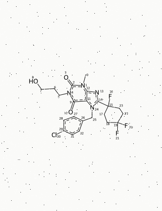 Cn1c(=O)n(CCCO)c(=O)c2c1nc(C1(F)CCC(F)(F)CC1)n2Cc1ccc(Cl)cc1